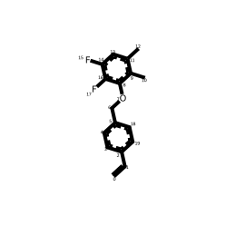 C=Cc1ccc(COc2c(C)c(C)cc(F)c2F)cc1